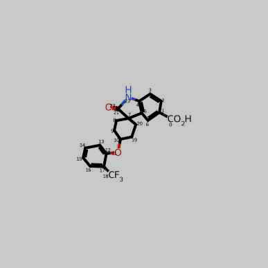 O=C(O)c1ccc2c(c1)C1(CCC(Oc3ccccc3C(F)(F)F)CC1)C(=O)N2